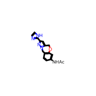 CC(=O)Nc1ccc2c(c1)OCc1cc(-c3ncc[nH]3)nn1C2